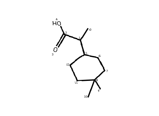 CC(C(=O)O)C1CCC(C)(C)CC1